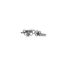 C#C[C@]1(O)CC[C@H]2[C@@H]3CCc4cc(OS(=O)(=O)NC)ccc4[C@H]3CC[C@@]21C